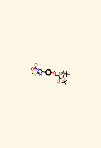 CSC1=NC(c2ccc(OCC(O[Si](C)(C)C(C)(C)C)C(=O)OC(C)(C)C)cc2)CN1C(=O)O